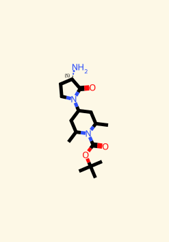 CC1CC(N2CC[C@H](N)C2=O)CC(C)N1C(=O)OC(C)(C)C